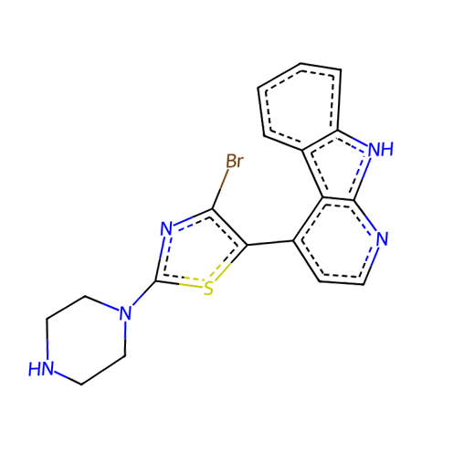 Brc1nc(N2CCNCC2)sc1-c1ccnc2[nH]c3ccccc3c12